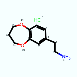 Cl.NCCc1ccc2c(c1)OCCCO2